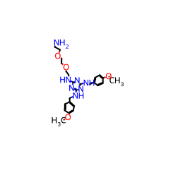 COc1ccc(CNc2nc(NCCOCCOCCN)nc(NCc3ccc(OC)cc3)n2)cc1